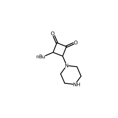 CCCCC1C(=O)C(=O)C1N1CCNCC1